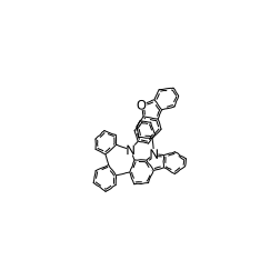 c1ccc(N2c3ccccc3-c3ccccc3-c3ccc4c5ccccc5n(-c5ccc6oc7ccccc7c6c5)c4c32)cc1